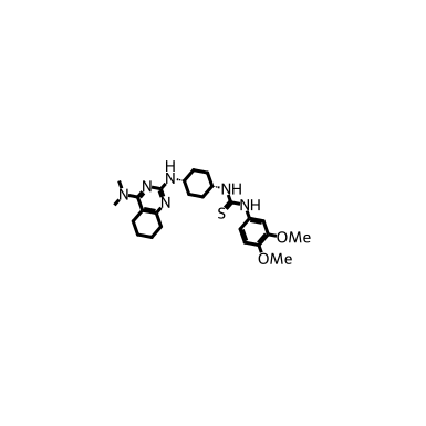 COc1ccc(NC(=S)N[C@H]2CC[C@@H](Nc3nc4c(c(N(C)C)n3)CCCC4)CC2)cc1OC